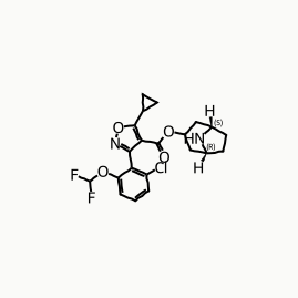 O=C(OC1C[C@H]2CC[C@@H](C1)N2)c1c(-c2c(Cl)cccc2OC(F)F)noc1C1CC1